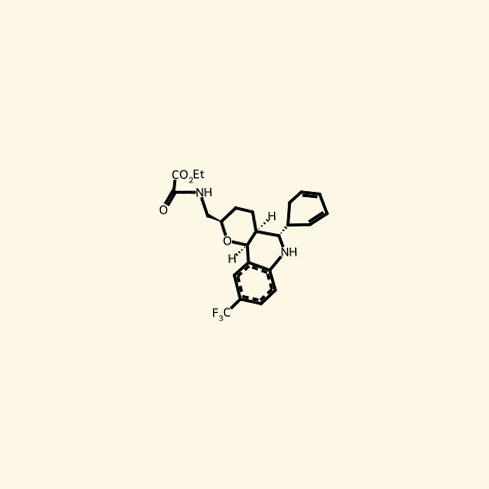 CCOC(=O)C(=O)NC[C@H]1CC[C@@H]2[C@H](O1)c1cc(C(F)(F)F)ccc1N[C@H]2C1C=CC=CC1